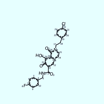 O=C(NCc1ccc(F)cc1)c1cn2ccn(CCc3ccc(Cl)cc3)c(=O)c2c(O)c1=O